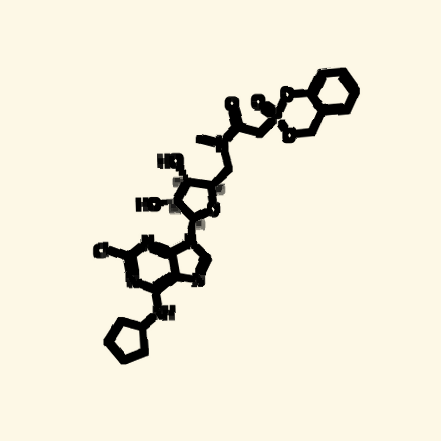 CN(C[C@H]1O[C@@H](n2cnc3c(NC4CCCC4)nc(Cl)nc32)[C@H](O)[C@@H]1O)C(=O)CP1(=O)OCc2ccccc2O1